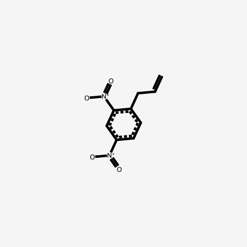 C=CCc1ccc([N+](=O)[O-])cc1[N+](=O)[O-]